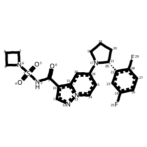 O=C(NS(=O)(=O)N1CCC1)c1cnn2ccc(N3CCC[C@@H]3c3cc(F)ccc3F)cc12